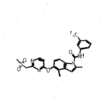 Cc1c(Oc2ccnc(CS(C)(=O)=O)n2)ccc2c1cc(C)n2C(=O)Nc1cccc(C(F)(F)F)c1